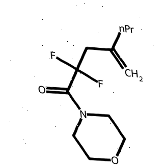 C=C(CCC)CC(F)(F)C(=O)N1CCOCC1